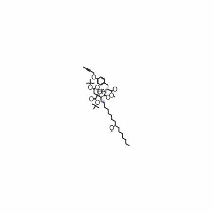 CC#CCOc1ccc(C[C@H](NC(=O)[C@@H](/C=C/CCCCCCC(CCCCCCC)OC)[C@@](O)(CC(=O)OC(C)(C)C)C(=O)OC(C)(C)C)C(=O)OC)cc1